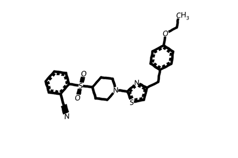 CCOc1ccc(Cc2csc(N3CCC(S(=O)(=O)c4ccccc4C#N)CC3)n2)cc1